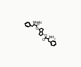 CC(=O)NC(Cc1ccccc1)C(=O)O[C@H]1CCC2C1CC[C@H]2OC(=O)C(N)Cc1ccccc1